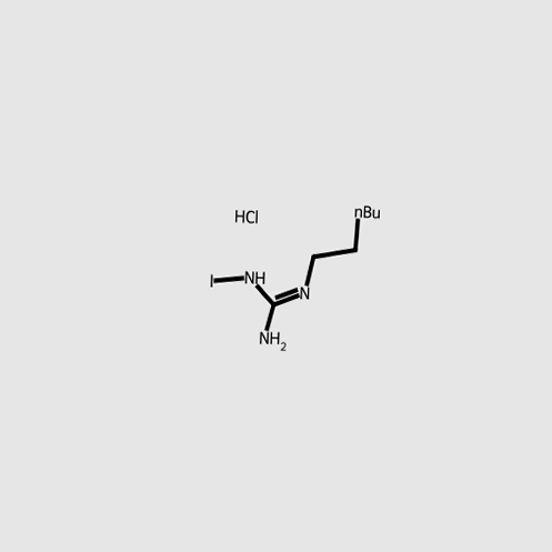 CCCCCCN=C(N)NI.Cl